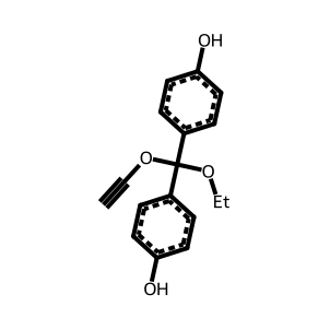 C#COC(OCC)(c1ccc(O)cc1)c1ccc(O)cc1